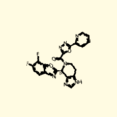 O=C(c1nnc(-c2ccccn2)o1)N1CCc2[nH]cnc2[C@H]1c1nc2ccc(F)c(F)c2o1